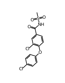 CS(=O)(=O)NC(=O)c1ccc(Oc2ccc(Cl)cc2)c(Cl)c1